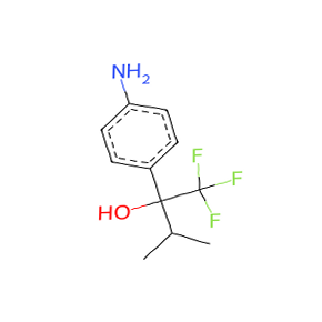 CC(C)C(O)(c1ccc(N)cc1)C(F)(F)F